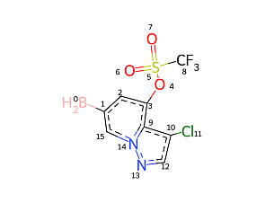 Bc1cc(OS(=O)(=O)C(F)(F)F)c2c(Cl)cnn2c1